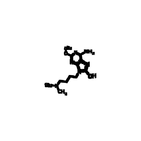 CCCCOc1nc(N)c2nc(O)n(CCCCN(C)C(C)(C)C)c2n1